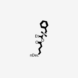 CCCCCCCCCCCCCC(=O)OC(CC)[N+](C)(C)Cc1ccccc1